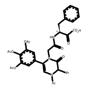 CC(=O)Oc1cc(C2=CN(C(C)=O)C(C(C)C)C(=O)N2CC(=O)N[C@@H](Cc2ccccc2)C(=O)C(=O)O)cc(OC(C)=O)c1OC(C)=O